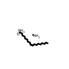 CCCCCCCC/C=C\CCCCCCCC(N)=O.CN